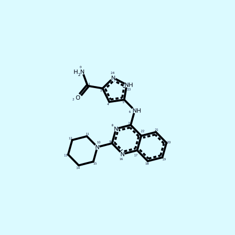 NC(=O)c1cc(Nc2nc(N3CCCCC3)nc3ccccc23)[nH]n1